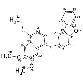 CCCc1n[c]c(Cc2ccc3oc4ccccc4c3c2)c2cc(OC)c(OC)cc12